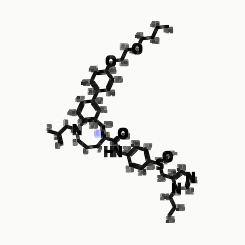 C=C(C)CN1CCC/C(C(=O)Nc2ccc([S+]([O-])Cc3cncn3CCC)cc2)=C\c2cc(-c3ccc(OCCOCCCC)cc3)ccc21